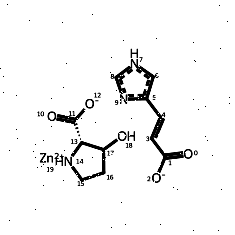 O=C([O-])C=Cc1c[nH]cn1.O=C([O-])[C@H]1NCCC1O.[Zn+2]